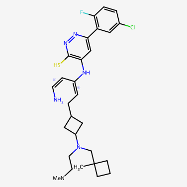 CNCCN(CC1(C)CCC1)C1CC(C/C=C(\C=C/N)Nc2cc(-c3cc(Cl)ccc3F)nnc2S)C1